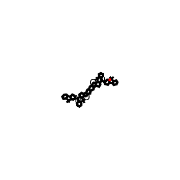 CC1(C)c2ccccc2-c2ccc(N3c4ccccc4C(C)(C)c4c3ccc3c4oc4cc5cc6c(cc5cc43)oc3c4c(ccc36)N(c3ccc5c(c3)C(C)(C)c3ccccc3-5)c3ccccc3C4(C)C)cc21